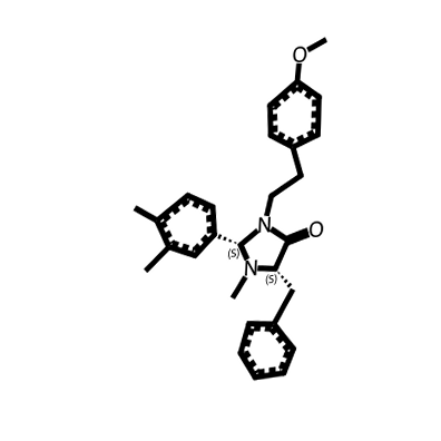 COc1ccc(CCN2C(=O)[C@H](Cc3ccccc3)N(C)[C@@H]2c2ccc(C)c(C)c2)cc1